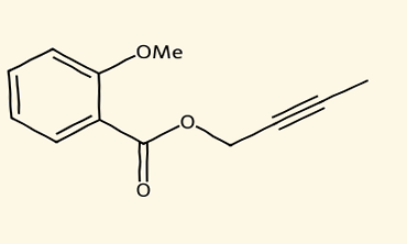 CC#CCOC(=O)c1ccccc1OC